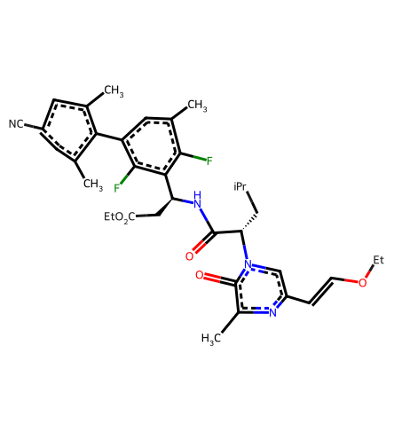 CCO/C=C/c1cn([C@@H](CC(C)C)C(=O)N[C@@H](CC(=O)OCC)c2c(F)c(C)cc(-c3c(C)cc(C#N)cc3C)c2F)c(=O)c(C)n1